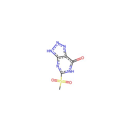 CS(=O)(=O)c1nc2[nH]nnc2c(=O)[nH]1